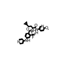 COc1ccc(NC(=O)C(CCC2CC2)NC(=O)c2ccc(Nc3ccncc3)cc2C(F)(F)F)cn1